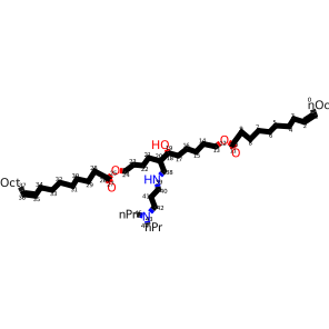 CCCCCCCC/C=C\CCCCCCCC(=O)OCCCCCC(O)C(CCCCOC(=O)CCCCCCC/C=C\CCCCCCCC)CNCCCN(CCC)CCC